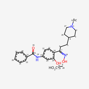 CC(=O)N1CCC(CCC(=NO)c2ccc(NC(=O)c3ccccc3)cc2O)CC1.CC(=O)O